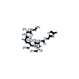 Cc1csc(COC(=O)N[C@@H](CS(=O)(=O)CC(C)C)C(=O)N[C@H](CC(C)C)[C@@H](O)C[C@@H](C)C(=O)N[C@@H](C(=O)NCC(C)C)C(C)C)n1